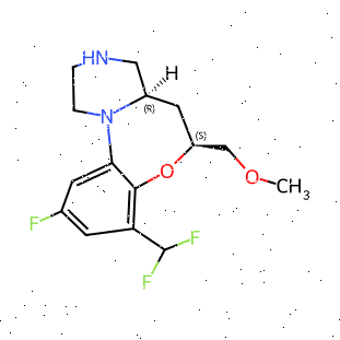 COC[C@@H]1C[C@@H]2CNCCN2c2cc(F)cc(C(F)F)c2O1